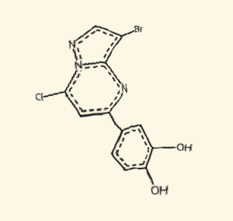 Oc1ccc(-c2cc(Cl)n3ncc(Br)c3n2)cc1O